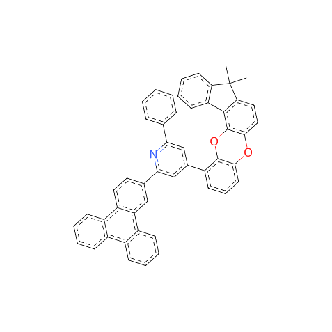 CC1(C)c2ccccc2-c2c1ccc1c2Oc2c(cccc2-c2cc(-c3ccccc3)nc(-c3ccc4c5ccccc5c5ccccc5c4c3)c2)O1